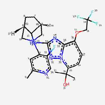 Cc1cc(N2C[C@H]3CC[C@@H](C2)C3Nc2nc3c(OCC(F)(F)F)ccc(C(C)(C)O)n3n2)c(F)cn1